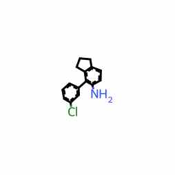 Nc1ccc2c(c1-c1cccc(Cl)c1)CCC2